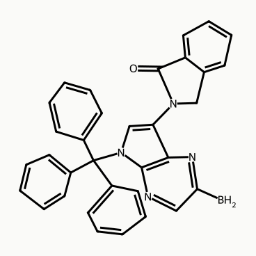 Bc1cnc2c(n1)c(N1Cc3ccccc3C1=O)cn2C(c1ccccc1)(c1ccccc1)c1ccccc1